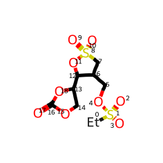 CCS(=O)(=O)OCC1CS(=O)(=O)OC1C1COC(=O)O1